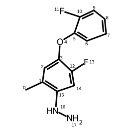 Cc1cc(Oc2ccccc2F)c(F)cc1NN